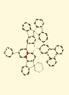 c1ccc(-c2cccc(-c3cc4c(cc3N(c3ccc5c(c3)C3(CCCCC3)c3ccccc3-5)c3ccc5c6ccccc6c6ccccc6c5c3)C3(c5ccccc5-c5ccccc53)c3ccccc3-4)c2)cc1